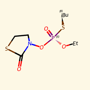 CCO[P@@](=O)(ON1CCSC1=O)S[C@H](C)CC